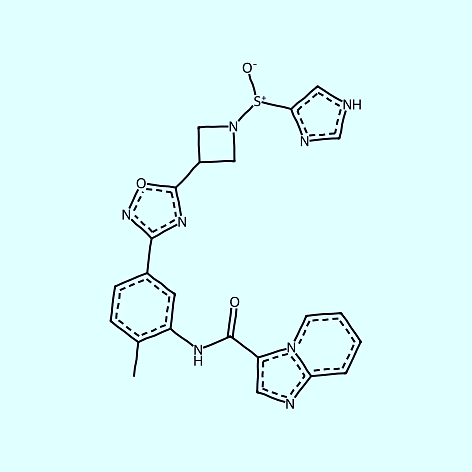 Cc1ccc(-c2noc(C3CN([S+]([O-])c4c[nH]cn4)C3)n2)cc1NC(=O)c1cnc2ccccn12